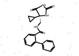 O=C1NC(=O)[C@](CNC(=O)c2ccccc2-c2ccccc2)(C2CC2)N1